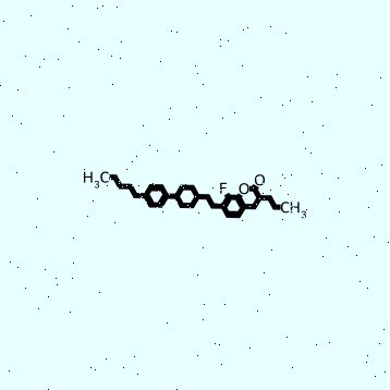 CCCCCc1ccc(C2CCC(CCc3ccc4c(c3F)OC(=O)C(CCC)C4)CC2)cc1